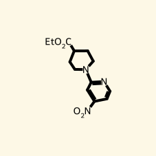 CCOC(=O)C1CCN(c2cc([N+](=O)[O-])ccn2)CC1